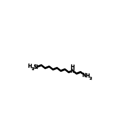 NCCNCCCCCCCC[SiH3]